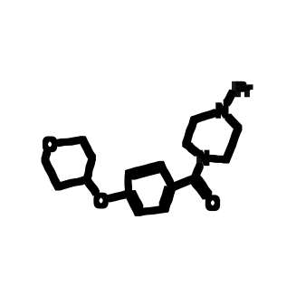 CC(C)N1CCN(C(=O)c2ccc(OC3CCOCC3)cc2)CC1